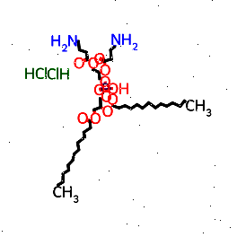 CCCCCCCCCCCCCC(=O)OCC(COP(=O)(O)OCC(COC(=O)CCCN)OC(=O)CCCN)OC(=O)CCCCCCCCCCCCC.Cl.Cl